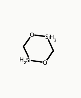 C1O[SiH2]CO[SiH2]1